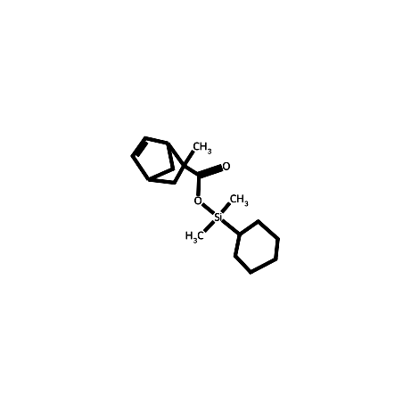 CC1(C(=O)O[Si](C)(C)C2CCCCC2)CC2C=CC1C2